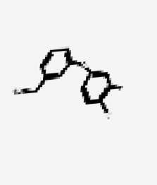 OCc1cccc(Oc2ccc(Cl)c(Cl)c2)c1